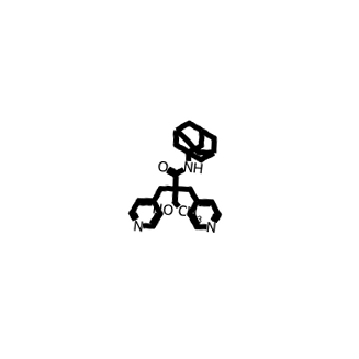 CC(O)C(Cc1ccncc1)(Cc1ccncc1)C(=O)NC12CC3CC(CC(C3)C1)C2